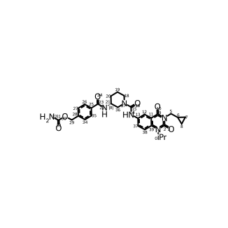 CC(C)n1c(=O)n(CC2CC2)c(=O)c2cc(NC(=O)N3CCC[C@@H](NC(=O)c4ccc(COC(N)=O)cc4)C3)ccc21